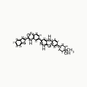 CC1(O)CCN(c2ccc(Nc3cc(-c4ccc(F)c(NC(=O)c5cc6ccccc6s5)c4)n[nH]c3=O)nc2)CC1